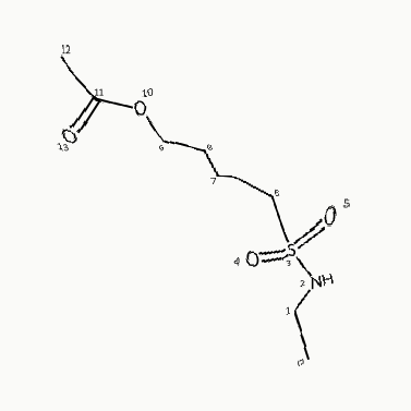 CCNS(=O)(=O)CCCCOC(C)=O